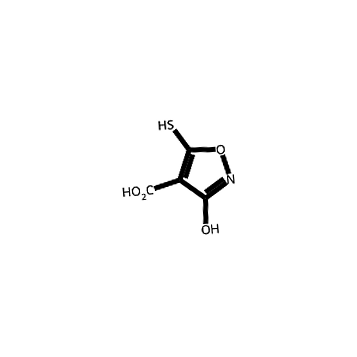 O=C(O)c1c(O)noc1S